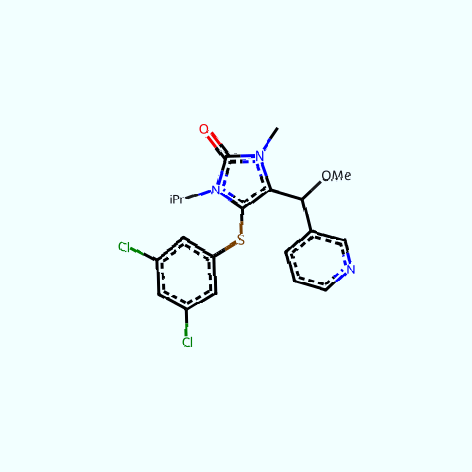 COC(c1cccnc1)c1c(Sc2cc(Cl)cc(Cl)c2)n(C(C)C)c(=O)n1C